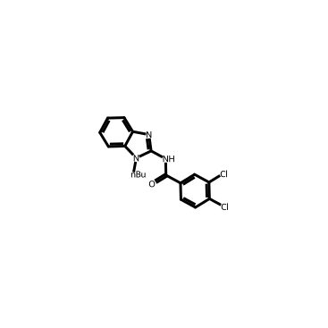 CCCCn1c(NC(=O)c2ccc(Cl)c(Cl)c2)nc2ccccc21